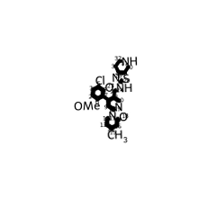 COc1ccc(Cl)cc1-c1cc(-n2ccc(C)cc2=O)ncc1C(=O)Nc1nc2c(s1)CNCC2